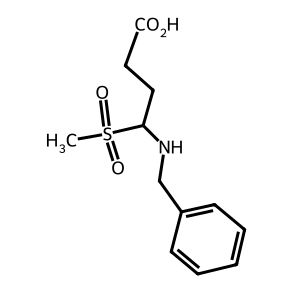 CS(=O)(=O)C(CCC(=O)O)NCc1ccccc1